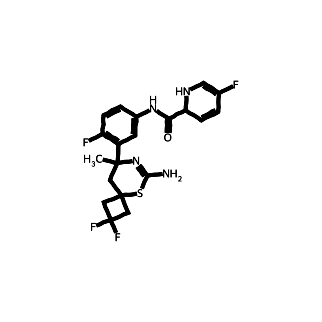 CC1(c2cc(NC(=O)C3C=CC(F)=CN3)ccc2F)CC2(CC(F)(F)C2)SC(N)=N1